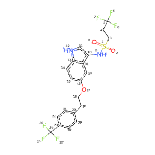 O=S(=O)(CCC(F)(F)F)Nc1c[nH]c2ccc(OCCc3ccc(C(F)(F)F)cc3)cc12